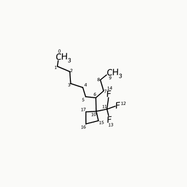 CCCCCCC(CCC)C1(C(F)(F)F)CCC1